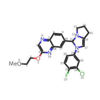 COCCOc1cnc2ccc(C3N4CCCC4=CN3c3ccc(F)c(Cl)c3)cc2n1